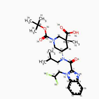 CC(C)CN(C(=O)c1nc2ccccc2n1CC(F)F)[C@@H]1CN(C(=O)OC(C)(C)C)C[C@](C)(C(=O)O)C1